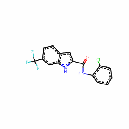 O=C(Nc1ccccc1Cl)c1cc2ccc(C(F)(F)F)cc2[nH]1